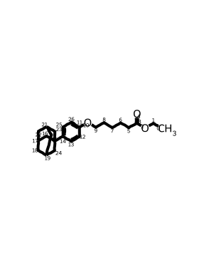 CCOC(=O)CCCCCOc1ccc(C23CC4CC(CC(C4)C2)C3)cc1